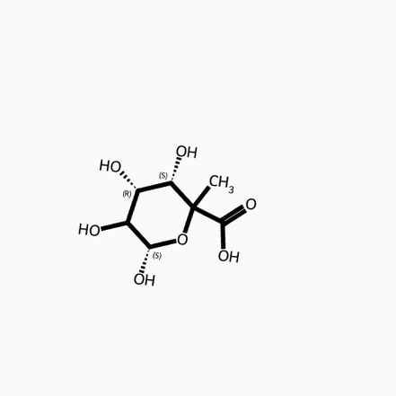 CC1(C(=O)O)O[C@H](O)C(O)[C@H](O)[C@@H]1O